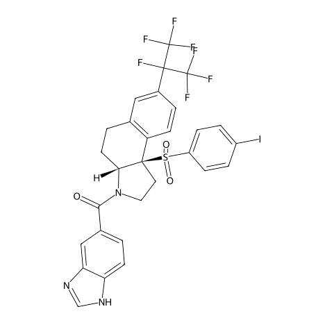 O=C(c1ccc2[nH]cnc2c1)N1CC[C@@]2(S(=O)(=O)c3ccc(I)cc3)c3ccc(C(F)(C(F)(F)F)C(F)(F)F)cc3CC[C@@H]12